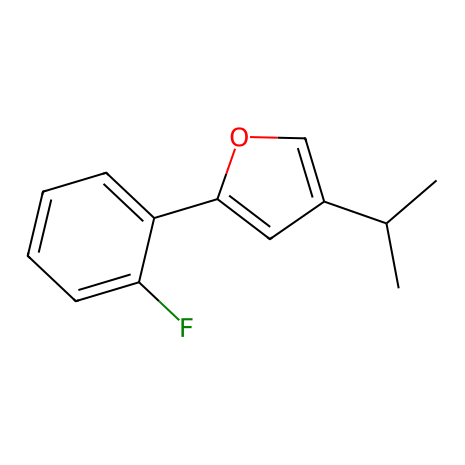 CC(C)c1coc(-c2ccccc2F)c1